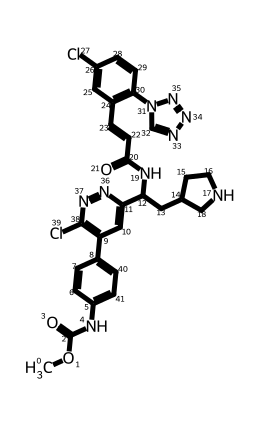 COC(=O)Nc1ccc(-c2cc(C(CC3CCNC3)NC(=O)C=Cc3cc(Cl)ccc3-n3cnnn3)nnc2Cl)cc1